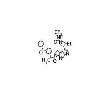 CCC1CN(C(=O)NCC(F)(F)F)C[C@@H]1c1cnc2cnc3c(ccn3C(=O)C(C)c3cccc(C(=O)c4ccccc4)c3)n12